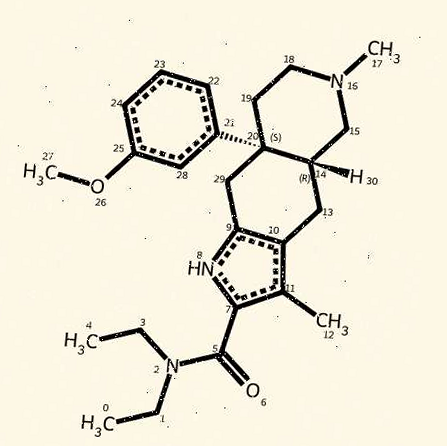 CCN(CC)C(=O)c1[nH]c2c(c1C)C[C@H]1CN(C)CC[C@]1(c1cccc(OC)c1)C2